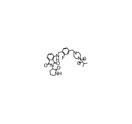 CC(C)S(=O)(=O)N1CCN(Cc2ccc(CNc3cccc4c3C(=O)N(C3CCCNC3=O)C4=O)c(F)c2)CC1